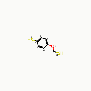 SCOc1ccc(S)cc1